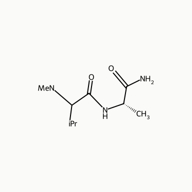 CNC(C(=O)N[C@@H](C)C(N)=O)C(C)C